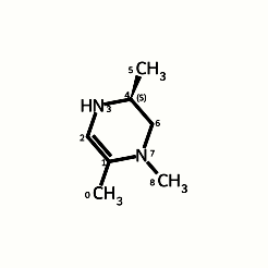 CC1=CN[C@@H](C)CN1C